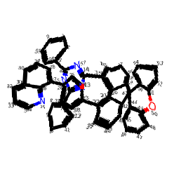 c1ccc(-c2nc(-c3ccccc3)nc(-c3cccc4c3-c3c(-c5ccc(-c6cccc7cccnc67)cc5)cccc3C43c4ccccc4Oc4ccccc43)n2)cc1